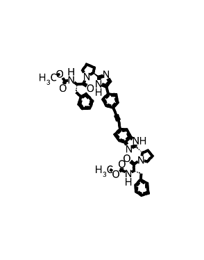 COC(=O)N[C@@H](Cc1ccccc1)C(=O)N1CCC[C@H]1c1ncc(-c2ccc(C#Cc3ccc4nc([C@@H]5CCCN5C(=O)[C@H](Cc5ccccc5)NC(=O)OC)[nH]c4c3)cc2)[nH]1